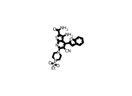 CCS(=O)(=O)N1CCN(c2nc3sc(C(N)=O)c(N)c3c(-c3cc4ccccc4o3)c2C#N)CC1